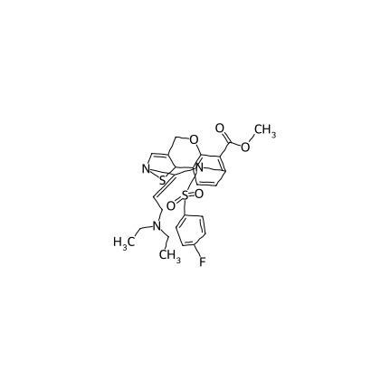 CCN(CC)C/C=C1/N2C=C3COc4c(ccc(c4C(=O)OC)N1S(=O)(=O)c1ccc(F)cc1)C3S2